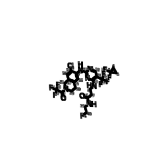 FC1(F)CC1.O=C(CCNc1nc(Nc2cc3c(cc2Cl)CN(C(=O)C(F)(F)F)CC3)ncc1C(F)(F)F)NCCF